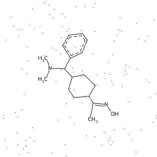 CC(=NO)C1CCC(C(c2ccccc2)N(C)C)CC1